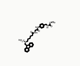 CC(C)(C)OC(=O)NCc1ccc(NC(=O)CNC(=O)CCCCCN(CC2c3ccccc3-c3ccccc32)C(=O)O)cc1